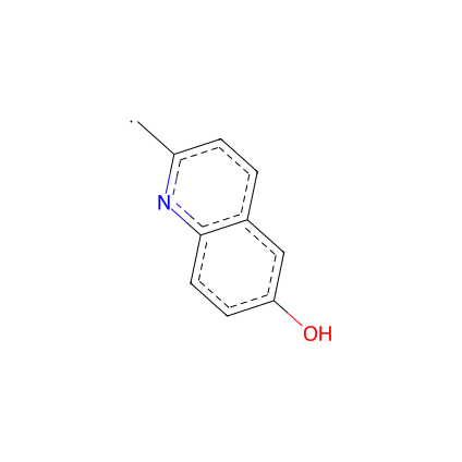 [CH2]c1ccc2cc(O)ccc2n1